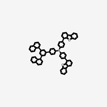 c1ccc2c(-c3cc(-c4ccc(N(c5ccc(-c6cccc7c6oc6ccccc67)cc5)c5ccc(-c6cccc7c6oc6ccccc67)cc5)cc4)cc(-c4cccc5ccccc45)c3)cccc2c1